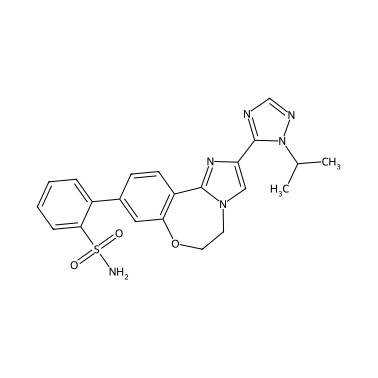 CC(C)n1ncnc1-c1cn2c(n1)-c1ccc(-c3ccccc3S(N)(=O)=O)cc1OCC2